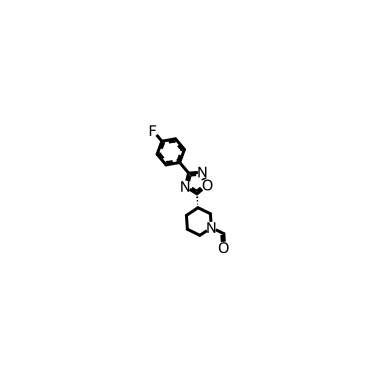 O=CN1CCC[C@H](c2nc(-c3ccc(F)cc3)no2)C1